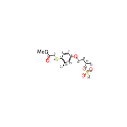 COC(=O)CSc1ccc(OCC[C@@H](C)OS(C)(=O)=O)cc1C